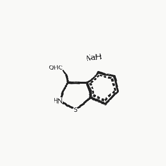 O=CC1NSc2ccccc21.[NaH]